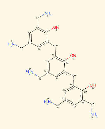 NCc1cc(CN)c(O)c(Cc2cc(CN)cc(Cc3cc(CN)cc(CN)c3O)c2O)c1